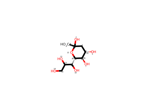 O=C(O)C1(O)C[C@H](O)[C@@H](O)[C@H](C(O)C(O)CO)O1